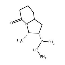 C[C@H]1[C@@H](P(P)PP)CC2CCCC(=O)N21